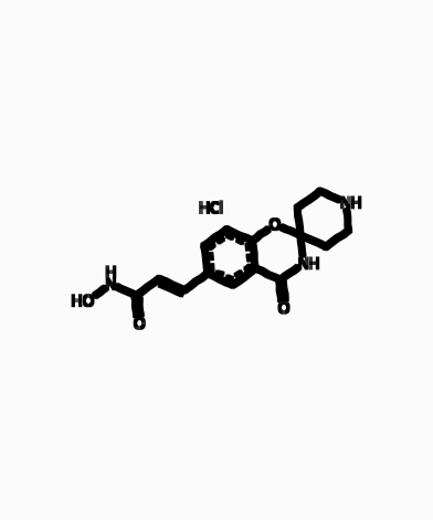 Cl.O=C(/C=C/c1ccc2c(c1)C(=O)NC1(CCNCC1)O2)NO